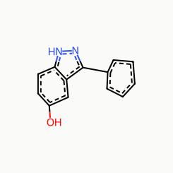 Oc1ccc2[nH]nc(-c3ccccc3)c2c1